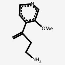 C=C(CCN)c1ccncc1OC